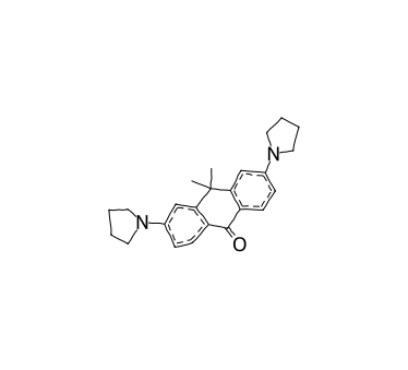 CC1(C)c2cc(N3CCCC3)ccc2C(=O)c2ccc(N3CCCC3)cc21